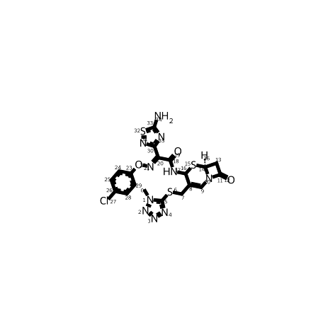 Cn1nnnc1SCC1=CN2C(=O)C[C@@H]2SC1NC(=O)C(=NOc1ccc(Cl)cc1)c1nsc(N)n1